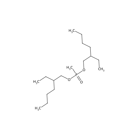 CCCCC(CC)COP(C)(=O)OCC(CC)CCCC